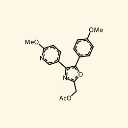 COc1ccc(-c2oc(COC(C)=O)nc2-c2ccc(OC)nc2)cc1